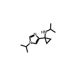 CC(C)NC1(c2cn(C(C)C)cn2)CC1